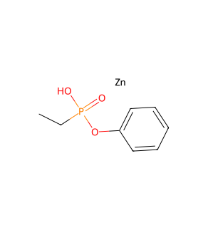 CCP(=O)(O)Oc1ccccc1.[Zn]